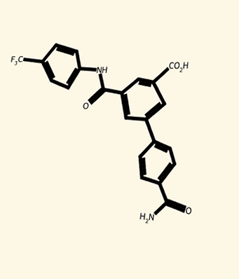 NC(=O)c1ccc(-c2cc(C(=O)O)cc(C(=O)Nc3ccc(C(F)(F)F)cc3)c2)cc1